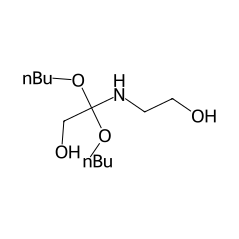 CCCCOC(CO)(NCCO)OCCCC